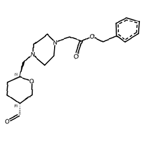 O=C[C@@H]1CC[C@@H](CN2CCN(CC(=O)OCc3ccccc3)CC2)OC1